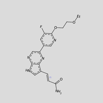 CCOCCOc1ncc(-c2cnc3[nH]cc(/C=C/C(N)=O)c3n2)cc1F